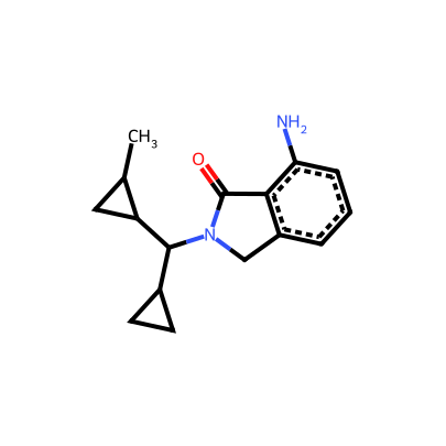 CC1CC1C(C1CC1)N1Cc2cccc(N)c2C1=O